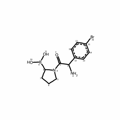 NC(C(=O)N1CCCC1B(O)O)c1ccc(Br)cc1